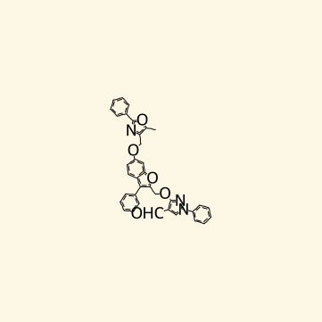 Cc1oc(-c2ccccc2)nc1COc1ccc2c(-c3ccccc3)c(COc3nn(-c4ccccc4)cc3C=O)oc2c1